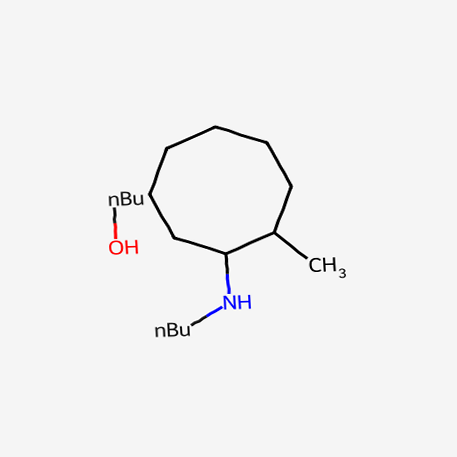 CCCCNC1CCCCCCC1C.CCCCO